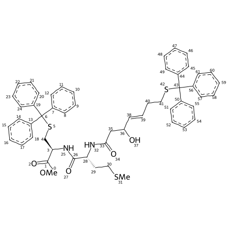 COC(=O)[C@@H](CSC(c1ccccc1)(c1ccccc1)c1ccccc1)NC(=O)[C@@H](CCSC)NC(=O)CC(O)/C=C/CCSC(c1ccccc1)(c1ccccc1)c1ccccc1